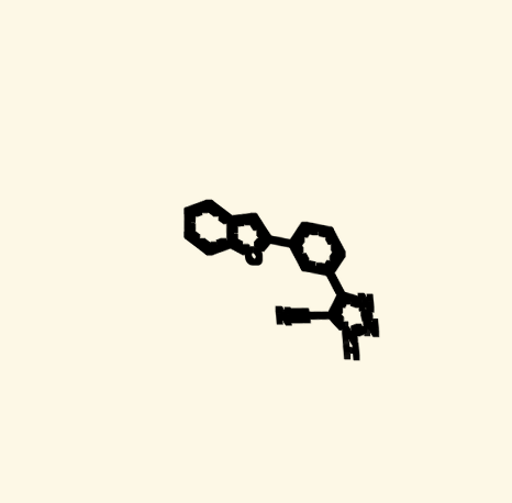 N#Cc1[nH]nnc1-c1cccc(-c2cc3ccccc3o2)c1